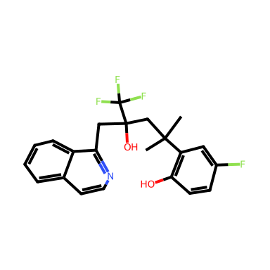 CC(C)(CC(O)(Cc1nccc2ccccc12)C(F)(F)F)c1cc(F)ccc1O